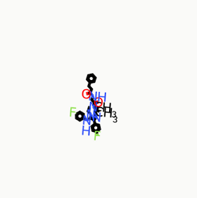 CC1(C)c2nc(-c3ccc(F)cc3)c(Nc3ccc(F)cc3)n2CCN1C(=O)CNC(=O)CCc1ccccc1